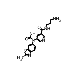 Cc1nc2ccc(N(C(N)=O)c3cncc(C(=O)NCCCN)c3)cc2s1